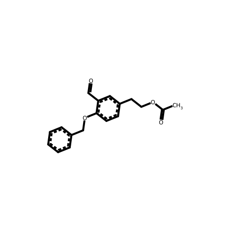 CC(=O)OCCc1ccc(OCc2ccccc2)c(C=O)c1